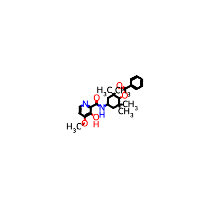 COc1ccnc(C(=O)NC2CC(C)(C)C(OC(=O)c3ccccc3)C(C)(C)C2)c1O